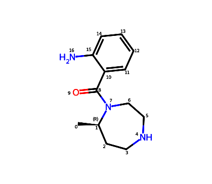 C[C@@H]1CCNCCN1C(=O)c1ccccc1N